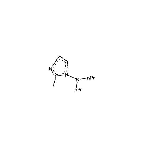 CCCN(CCC)n1ccnc1C